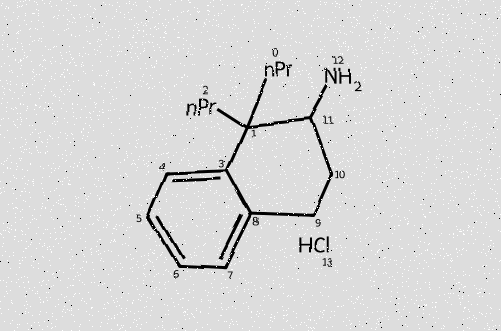 CCCC1(CCC)c2ccccc2CCC1N.Cl